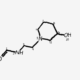 O=CNCCN1CCCC(O)C1